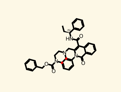 CC[C@H](NC(=O)c1c(CN2CCN(C(=O)OCc3ccccc3)CC2)n(-c2ccccc2)c(=O)c2ccccc12)c1ccccc1